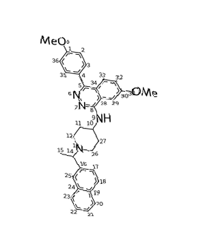 COc1ccc(-c2nnc(NC3CCN(C(C)c4ccc5ccccc5c4)CC3)c3cc(OC)ccc23)cc1